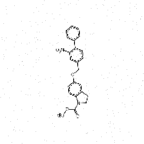 CC(C)(C)OC(=O)N1CCc2cc(OCc3ccc(-c4ccccc4)c([N+](=O)[O-])c3)ccc21